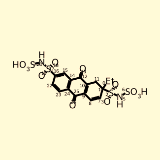 CCC1(S(=O)(=O)NS(=O)(=O)O)C=CC2=C(C1)C(=O)c1cc(S(=O)(=O)NS(=O)(=O)O)ccc1C2=O